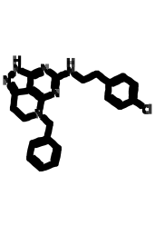 Clc1ccc(CCNc2nc3c4c(n[nH]c4n2)CCN3Cc2ccccc2)cc1